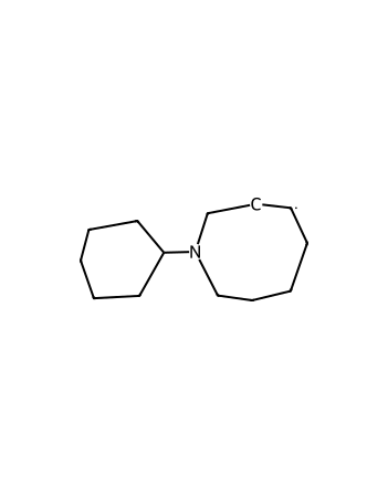 [CH]1CCCCN(C2CCCCC2)CC1